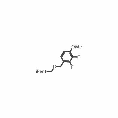 CCCC(C)COCc1ccc(OC)c(F)c1F